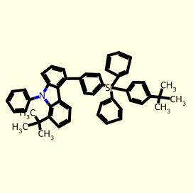 CC(C)(C)c1ccc([Si](c2ccccc2)(c2ccccc2)c2ccc(-c3cccc4c3c3cccc(C(C)(C)C)c3n4-c3ccccc3)cc2)cc1